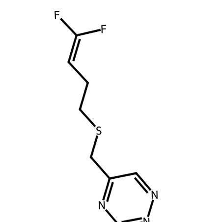 FC(F)=CCCSCc1cnncn1